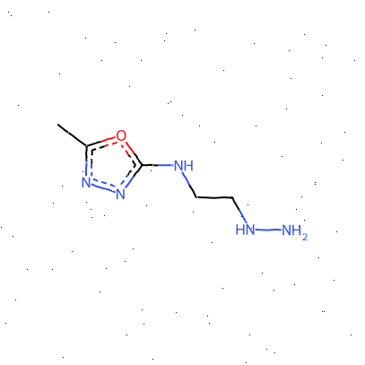 Cc1nnc(NCCNN)o1